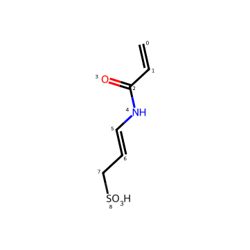 C=CC(=O)NC=CCS(=O)(=O)O